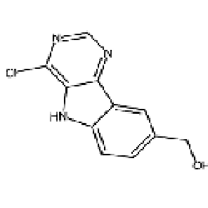 OCc1ccc2[nH]c3c(Cl)ncnc3c2c1